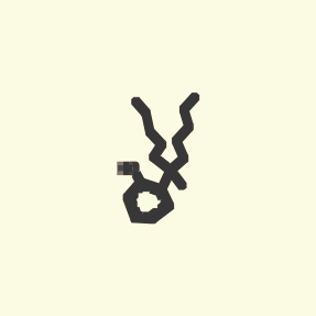 CCCCCC(C)(CCCCC)c1ccccc1O